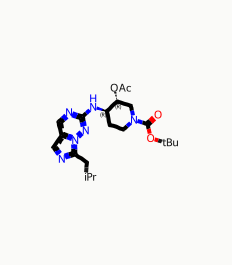 CC(=O)O[C@@H]1CN(C(=O)OC(C)(C)C)CC[C@H]1Nc1ncc2cnc(CC(C)C)n2n1